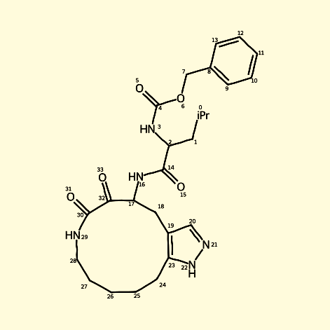 CC(C)CC(NC(=O)OCc1ccccc1)C(=O)NC1Cc2cn[nH]c2CCCCCNC(=O)C1=O